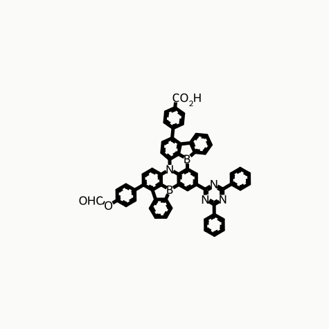 O=COc1ccc(-c2ccc3c4c2-c2ccccc2B4c2cc(-c4nc(-c5ccccc5)nc(-c5ccccc5)n4)cc4c2N3c2ccc(-c3ccc(C(=O)O)cc3)c3c2B4c2ccccc2-3)cc1